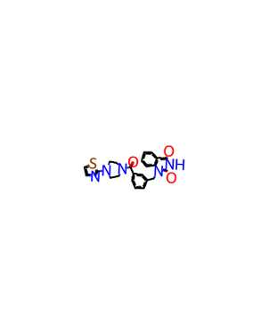 O=C(c1cccc(Cn2c(=O)[nH]c(=O)c3ccccc32)c1)N1CCN(c2nccs2)CC1